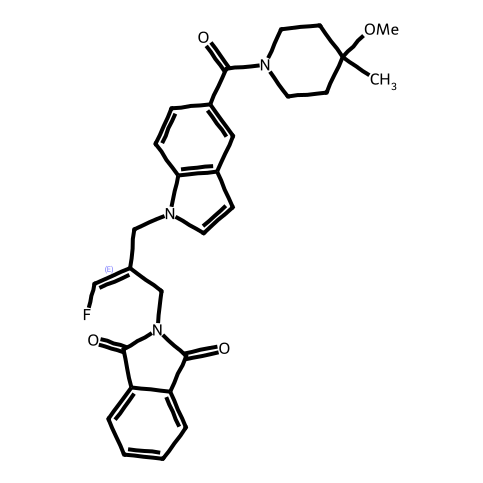 COC1(C)CCN(C(=O)c2ccc3c(ccn3C/C(=C/F)CN3C(=O)c4ccccc4C3=O)c2)CC1